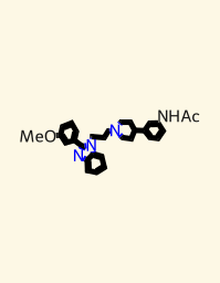 COc1cccc(-c2nc3ccccc3n2CCCN2CCC(c3cccc(NC(C)=O)c3)CC2)c1